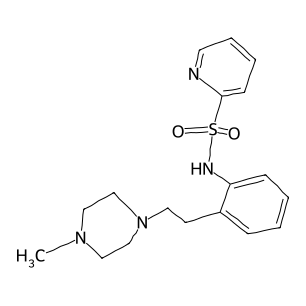 CN1CCN(CCc2ccccc2NS(=O)(=O)c2ccccn2)CC1